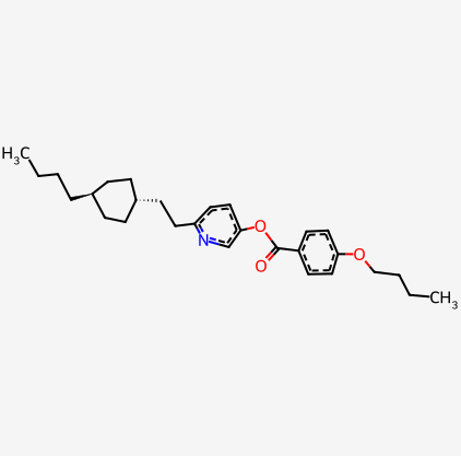 CCCCOc1ccc(C(=O)Oc2ccc(CC[C@H]3CC[C@H](CCCC)CC3)nc2)cc1